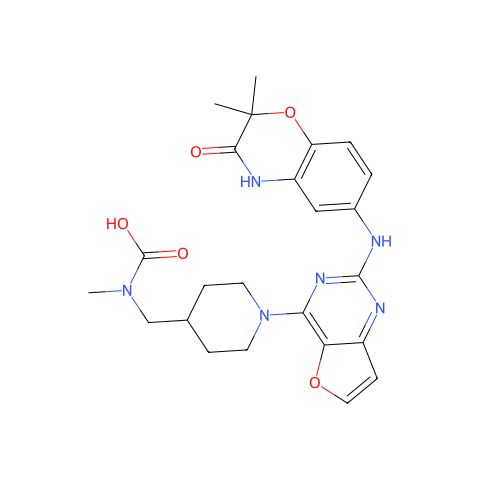 CN(CC1CCN(c2nc(Nc3ccc4c(c3)NC(=O)C(C)(C)O4)nc3ccoc23)CC1)C(=O)O